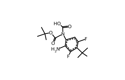 CC(C)(C)OC(=O)N(C(=O)O)c1cc(F)c(C(C)(C)C)c(F)c1N